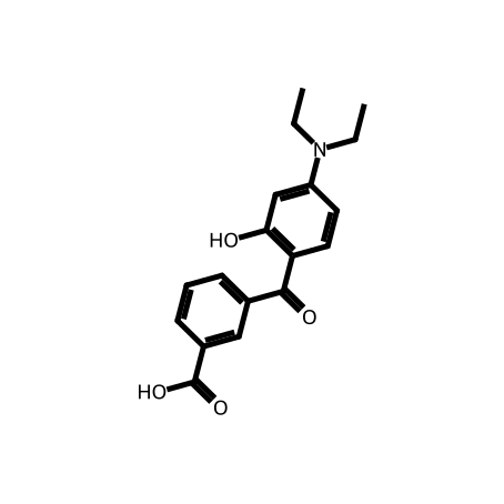 CCN(CC)c1ccc(C(=O)c2cccc(C(=O)O)c2)c(O)c1